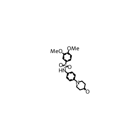 COc1ccc(S(=O)(=O)Nc2ccc(N3CCC(=O)CC3)cc2)cc1OC